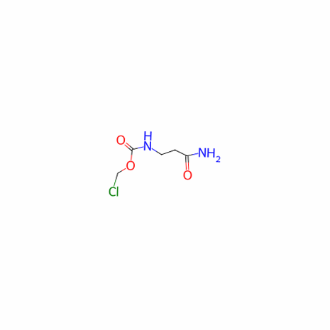 NC(=O)CCNC(=O)OCCl